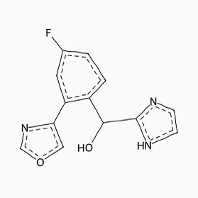 OC(c1ncc[nH]1)c1ccc(F)cc1-c1cocn1